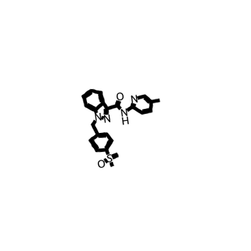 C=S(C)(=O)c1ccc(Cn2nc(C(=O)Nc3ccc(C)cn3)c3ccccc32)cc1